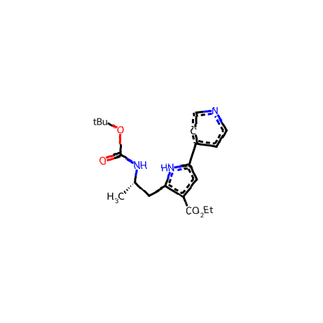 CCOC(=O)c1cc(-c2ccncc2)[nH]c1C[C@H](C)NC(=O)OC(C)(C)C